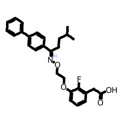 CC(C)CC/C(=N\OCCOc1cccc(CC(=O)O)c1F)c1ccc(-c2ccccc2)cc1